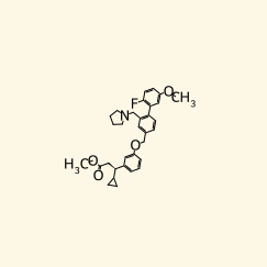 COC(=O)C[C@@H](c1cccc(OCc2ccc(-c3cc(OC)ccc3F)c(CN3CCCC3)c2)c1)C1CC1